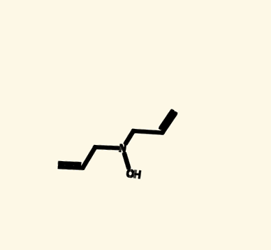 C=CCN(O)CC=C